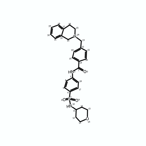 O=C(Nc1ccc(S(=O)(=O)NC2CCOCC2)cc1)c1ccc(CN2CCc3ccccc3C2)cc1